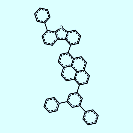 c1ccc(-c2cc(-c3ccccc3)cc(-c3ccc4ccc5c(-c6cccc7oc8c(-c9ccccc9)cccc8c67)ccc6ccc3c4c65)c2)cc1